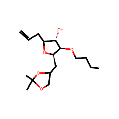 C=CCC1O[C@H](CC2COC(C)(C)O2)[C@H](OCCCC)[C@H]1O